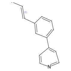 [CH2]/C=C/c1cccc(-c2ccncc2)c1